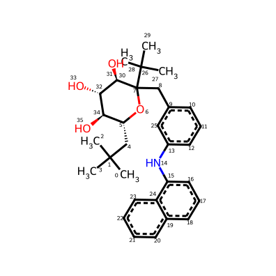 CC(C)(C)C[C@H]1OC(Cc2cccc(Nc3cccc4ccccc34)c2)(C(C)(C)C)[C@H](O)[C@@H](O)[C@@H]1O